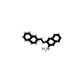 Nc1cc2ccccc2cc1CCc1ccc2ccccc2c1